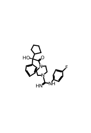 N=C(Nc1ccc(F)cc1)N1CCN(C(=O)[C@](O)(c2ccccc2)C2CCCC2)CC1